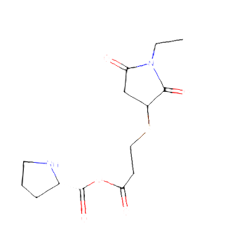 CCN1C(=O)CC(SCCC(=O)OC(=O)[C@@H]2CCCN2)C1=O